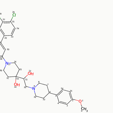 COc1ccc(C2CCN(CC(O)C3(O)CCN(C(=O)C=Cc4ccc(Cl)c(Cl)c4)CC3)CC2)cc1